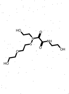 O=C(NCCO)C(=O)N(CCO)SCCOCCO